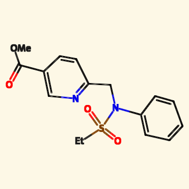 CCS(=O)(=O)N(Cc1ccc(C(=O)OC)cn1)c1ccccc1